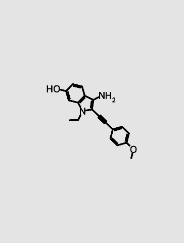 CCn1c(C#Cc2ccc(OC)cc2)c(N)c2ccc(O)cc21